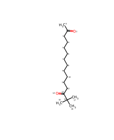 CC(=O)CCCCCCCCCCC(=O)C(C)(C)C